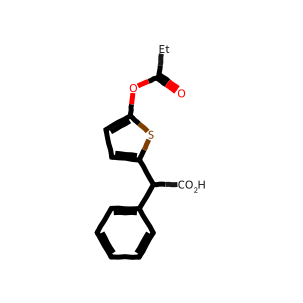 CCC(=O)Oc1ccc(C(C(=O)O)c2ccccc2)s1